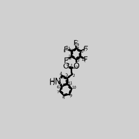 O=C(Cc1c[nH]c2ccccc12)Oc1c(F)c(F)c(F)c(F)c1F